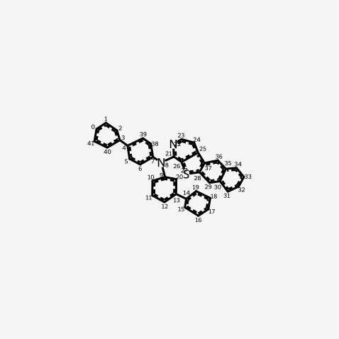 c1ccc(-c2ccc(N(c3cccc(-c4ccccc4)c3)c3nccc4c3sc3cc5ccccc5cc34)cc2)cc1